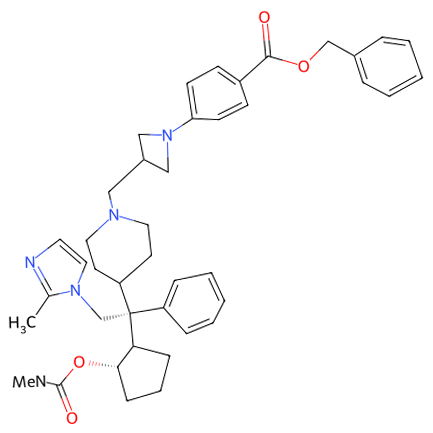 CNC(=O)O[C@H]1CCCC1[C@](Cn1ccnc1C)(c1ccccc1)C1CCN(CC2CN(c3ccc(C(=O)OCc4ccccc4)cc3)C2)CC1